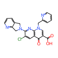 O=C(O)c1cn(Cc2ccccn2)c2nc(N3Cc4cccnc4C3)c(Cl)cc2c1=O